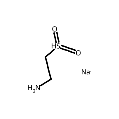 NCC[SH](=O)=O.[Na]